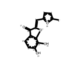 [CH2]c1ccc(C=C2Oc3c(ccc(O)c3O)C2=O)o1